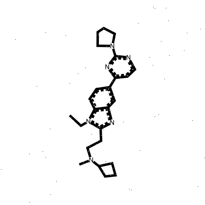 CCn1c(CCN(C)C2CCC2)nc2cc(-c3ccnc(N4CCCC4)n3)ccc21